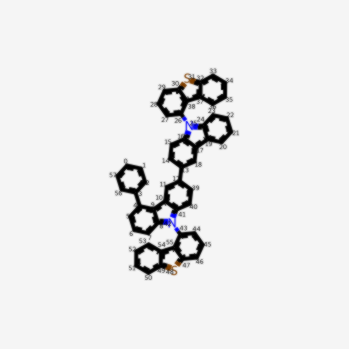 c1ccc(-c2cccc3c2c2cc(-c4ccc5c(c4)c4ccccc4n5-c4cccc5sc6ccccc6c45)ccc2n3-c2cccc3sc4ccccc4c23)cc1